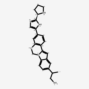 NCC(I)c1ccc2c(c1)cc1n2COc2cc(-c3cnc([C@H]4CCCN4)[nH]3)ccc2-1